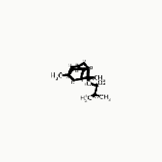 C=C(C)C(=O)OC1(C)C2CC3CC1CC(C)(C3)C2